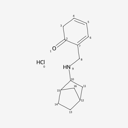 Cl.O=C1CC=CC=C1CNC1CC2CCC1C2